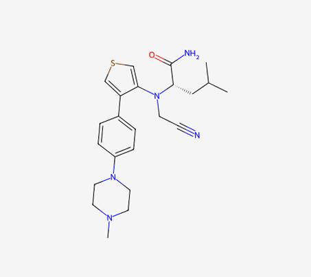 CC(C)C[C@@H](C(N)=O)N(CC#N)c1cscc1-c1ccc(N2CCN(C)CC2)cc1